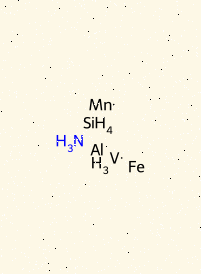 N.[AlH3].[Fe].[Mn].[SiH4].[V]